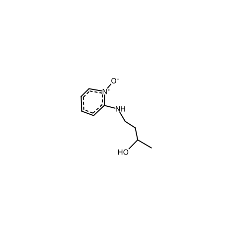 CC(O)CCNc1cccc[n+]1[O-]